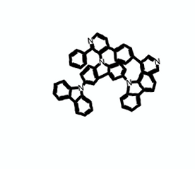 c1ccc(-c2nccc(-c3ccc(-c4cccnc4)cc3)c2-n2c3ccc(-n4c5ccccc5c5ccccc54)cc3c3cc(-n4c5ccccc5c5ccccc54)ccc32)cc1